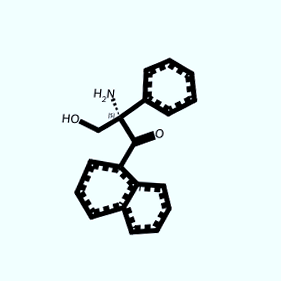 N[C@@](CO)(C(=O)c1cccc2ccccc12)c1ccccc1